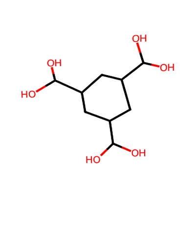 OC(O)C1CC(C(O)O)CC(C(O)O)C1